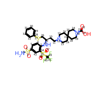 NS(=O)(=O)c1ccc(N[C@H](CCN2CCC3(CC2)CCN(C(=O)O)CC3)CSc2ccccc2)c(S(=O)(=O)C(F)(F)F)c1